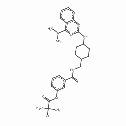 CN(C)c1nc(NC2CCC(CNC(=O)c3cccc(NC(=O)C(C)(C)C)c3)CC2)nc2ccccc12